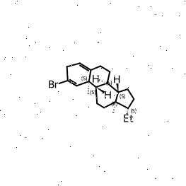 CC[C@H]1CC[C@H]2[C@@H]3CCC4=CCC(Br)=C[C@]4(C)[C@H]3CC[C@]12C